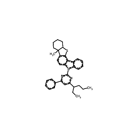 CCCC(CC)c1cc(-c2ccccc2)nc(-n2c3ccccc3c3c4c(ccc32)C2(C)CCCCC2S4)n1